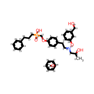 CC(O)CN(CCc1ccc(OCP(=O)(O)CCCc2ccccc2)cc1)Oc1cccc(CO)c1.c1cc2ccc1CO2